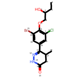 CCC(O)COc1c(Cl)cc(C2=NNC(=O)CC2C)cc1Br